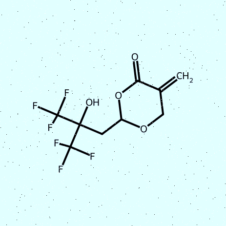 C=C1COC(CC(O)(C(F)(F)F)C(F)(F)F)OC1=O